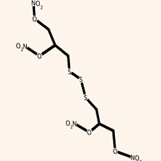 O=[N+]([O-])OCC(CSSSCC(CO[N+](=O)[O-])O[N+](=O)[O-])O[N+](=O)[O-]